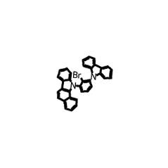 Brc1c(-n2c3ccccc3c3ccccc32)cccc1-n1c2ccccc2c2ccc3ccccc3c21